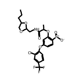 CCCC1COC(CNC(=O)C(C)Oc2cc(Oc3ccc(C(F)(F)F)cc3Cl)ccc2[N+](=O)[O-])O1